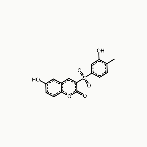 Cc1ccc(S(=O)(=O)c2cc3cc(O)ccc3oc2=O)cc1O